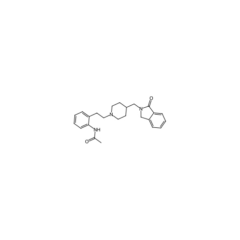 CC(=O)Nc1ccccc1CCN1CCC(CN2Cc3ccccc3C2=O)CC1